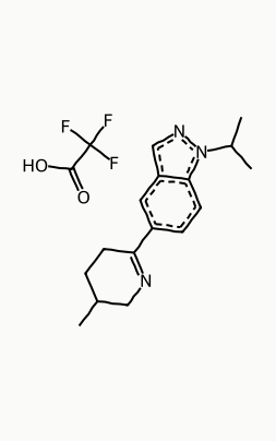 CC1CCC(c2ccc3c(cnn3C(C)C)c2)=NC1.O=C(O)C(F)(F)F